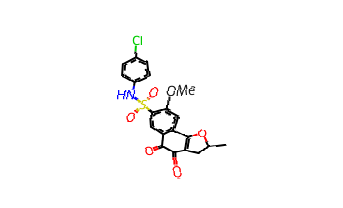 COc1cc2c(cc1S(=O)(=O)Nc1ccc(Cl)cc1)C(=O)C(=O)C1=C2OC(C)C1